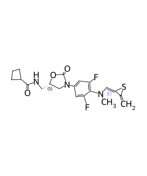 C=C1S/C1=C/N(C)c1c(F)cc(N2C[C@H](CNC(=O)C3CCC3)OC2=O)cc1F